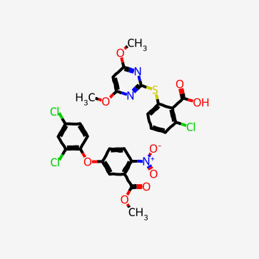 COC(=O)c1cc(Oc2ccc(Cl)cc2Cl)ccc1[N+](=O)[O-].COc1cc(OC)nc(Sc2cccc(Cl)c2C(=O)O)n1